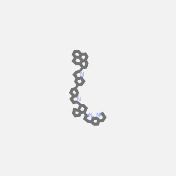 c1cnc2c(c1)ccc1ccc(-c3ccc(-c4ccc5ccc(-c6ccc7nc(-c8ccc9ccc%10cccc%11ccc8c9c%10%11)ccc7c6)cc5n4)c4ccccc34)nc12